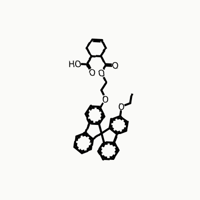 CCOc1ccc2c(c1)C1(c3ccccc3-2)c2ccccc2-c2ccc(OCCOC(=O)C3CC=CCC3C(=O)O)cc21